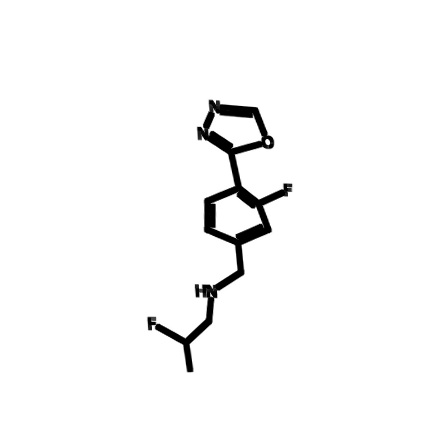 CC(F)CNCc1ccc(-c2nnco2)c(F)c1